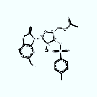 C=C1Sc2cnc(N)nc2N1[C@@H]1O[C@H](COC(C)=O)[C@H](OS(=O)(=O)c2ccc(C)cc2)[C@H]1O